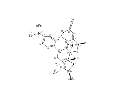 CC[C@@H]1C[C@H]2[C@@H]3C[C@H](C)C4=CC(=O)CCC4=C3[C@@H](c3ccc(N(CC)CC)cc3)C[C@]2(C)[C@H]1C(C)=O